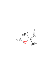 C=C[Si](CCC)(CCC)OCCC